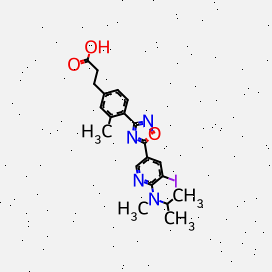 Cc1cc(CCC(=O)O)ccc1-c1noc(-c2cnc(N(C)C(C)C)c(I)c2)n1